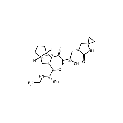 CC(C)(C)[C@H](NCC(F)(F)F)C(=O)N1C[C@@H]2CCC[C@@H]2[C@H]1C(=O)N[C@H](C#N)C[C@@H]1CC2(CC2)NC1=O